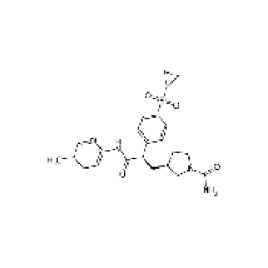 CC1C=NC(NC(=O)[C@H](C[C@H]2CCN(C(N)=O)C2)c2ccc(S(=O)(=O)C3CC3)cc2)=CC1